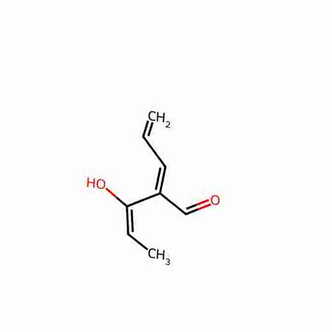 C=C/C=C(C=O)\C(O)=C/C